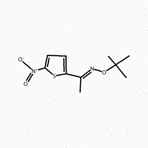 CC(=NOC(C)(C)C)c1ccc([N+](=O)[O-])s1